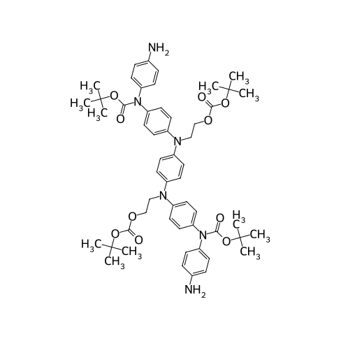 CC(C)(C)OC(=O)OCCN(c1ccc(N(CCOC(=O)OC(C)(C)C)c2ccc(N(C(=O)OC(C)(C)C)c3ccc(N)cc3)cc2)cc1)c1ccc(N(C(=O)OC(C)(C)C)c2ccc(N)cc2)cc1